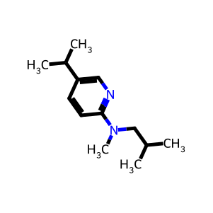 CC(C)CN(C)c1ccc(C(C)C)cn1